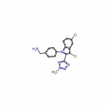 Cn1nnc(-c2c(Cl)c3cc(Cl)ccc3n2-c2ccc(CN)cc2)n1